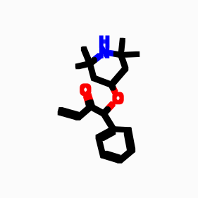 C=CC(=O)C(OC1CC(C)(C)NC(C)(C)C1)c1ccccc1